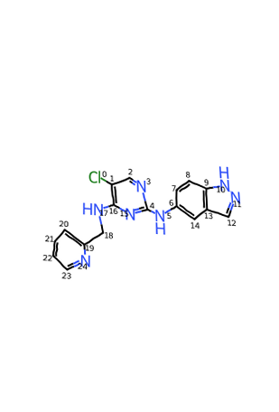 Clc1cnc(Nc2ccc3[nH]ncc3c2)nc1NCc1ccccn1